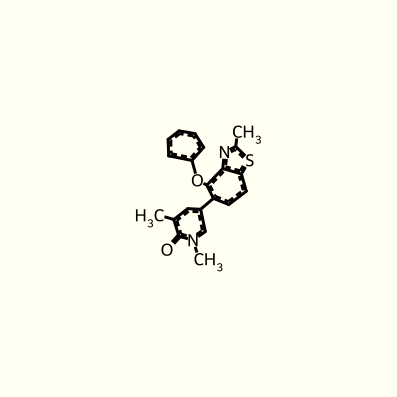 Cc1nc2c(Oc3ccccc3)c(-c3cc(C)c(=O)n(C)c3)ccc2s1